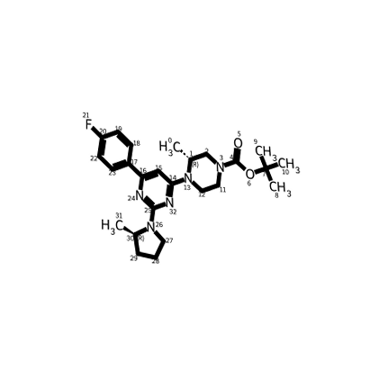 C[C@@H]1CN(C(=O)OC(C)(C)C)CCN1c1cc(-c2ccc(F)cc2)nc(N2CCC[C@H]2C)n1